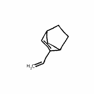 C=CC1=CC2CCC1C2